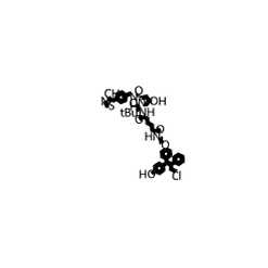 Cc1ncsc1-c1ccc(CNC(=O)[C@@H]2C[C@@H](O)CN2C(=O)[C@@H](NC(=O)CCCCC(=O)NCCOc2ccc(C(=C(CCCl)c3ccccc3)c3ccc(O)cc3)cc2)C(C)(C)C)cc1